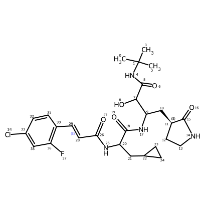 CC(C)(C)NC(=O)C(O)C(C[C@@H]1CCNC1=O)NC(=O)C(CC1CC1)NC(=O)/C=C/c1ccc(Cl)cc1F